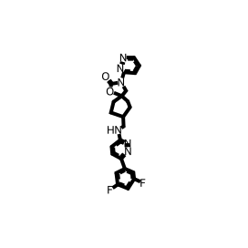 O=C1OC2(CCC(CNc3ccc(-c4cc(F)cc(F)c4)nn3)CC2)CN1c1cccnn1